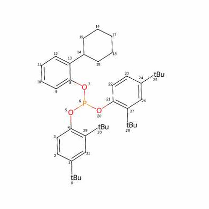 CC(C)(C)c1ccc(OP(Oc2ccccc2C2CCCCC2)Oc2ccc(C(C)(C)C)cc2C(C)(C)C)c(C(C)(C)C)c1